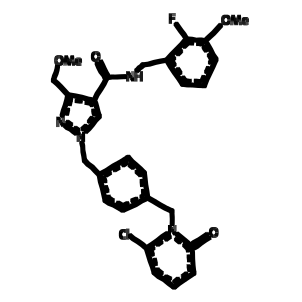 COCc1nn(Cc2ccc(Cn3c(Cl)cccc3=O)cc2)cc1C(=O)NCc1cccc(OC)c1F